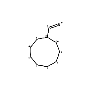 S=[C]C1CCCCCCCC1